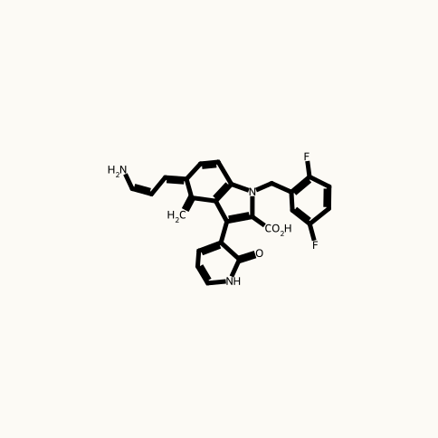 C=c1/c(=C\C=C/N)ccc2c1c(-c1ccc[nH]c1=O)c(C(=O)O)n2Cc1cc(F)ccc1F